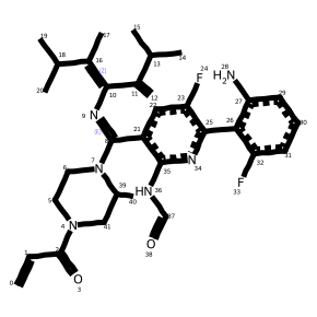 C=CC(=O)N1CCN(/C(=N/C(C(=C)C(C)C)=C(/C)C(C)C)c2cc(F)c(-c3c(N)cccc3F)nc2NC=O)C(C)C1